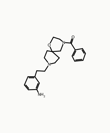 Nc1cccc(CCN2CCC3(CC2)CN(C(=O)c2ccccc2)CCO3)c1